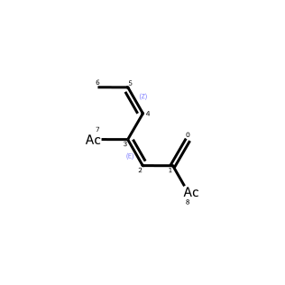 C=C(/C=C(\C=C/C)C(C)=O)C(C)=O